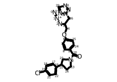 [N-]=[N+]=NC(COc1ccc(C(=O)N2CCC(c3ccc(Cl)cc3)C2)cc1)Cn1ncnn1